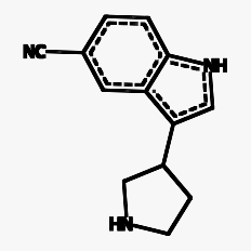 N#Cc1ccc2[nH]cc(C3CCNC3)c2c1